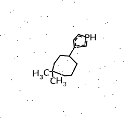 CC1(C)CCCC(c2cc[pH]c2)CC1